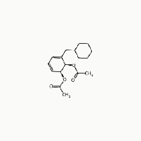 CC(=O)O[C@H]1C=CC=C(CC2CCCCC2)[C@H]1OC(C)=O